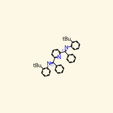 CC(C)(C)c1ccccc1/N=C(\c1ccccc1)c1cccc(/C(=N/c2ccccc2C(C)(C)C)c2ccccc2)n1